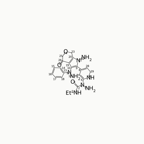 CCNC(=O)N(N)C1=CC(c2c(N(N)c3ccccc3)c3c(n2N)COCC3=O)=CCN1